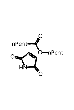 CCCCCOC(=O)CCCCC.O=C1C=CC(=O)N1